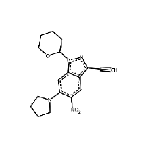 C#Cc1nn(C2CCCCO2)c2cc(N3CCCC3)c([N+](=O)[O-])cc12